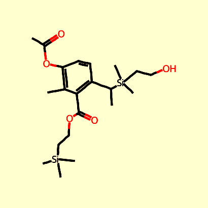 CC(=O)Oc1ccc(C(C)[Si](C)(C)CCO)c(C(=O)OCC[Si](C)(C)C)c1C